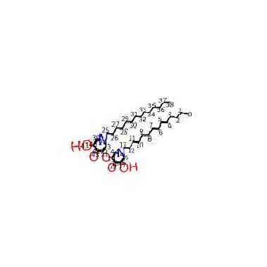 CCCCCCCCCCCCCCn1cc(O)c(=O)c(Oc2cn(CCCCCCCCCCCCCC)cc(O)c2=O)c1